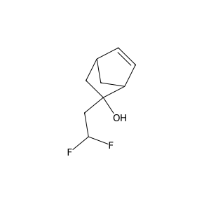 OC1(CC(F)F)CC2C=CC1C2